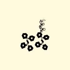 O=[N+]([O-])[O-].O=[N+]([O-])[O-].[Ni+2].c1ccc(P(CCP(c2ccccc2)c2ccccc2)c2ccccc2)cc1.c1ccc(P(CCP(c2ccccc2)c2ccccc2)c2ccccc2)cc1